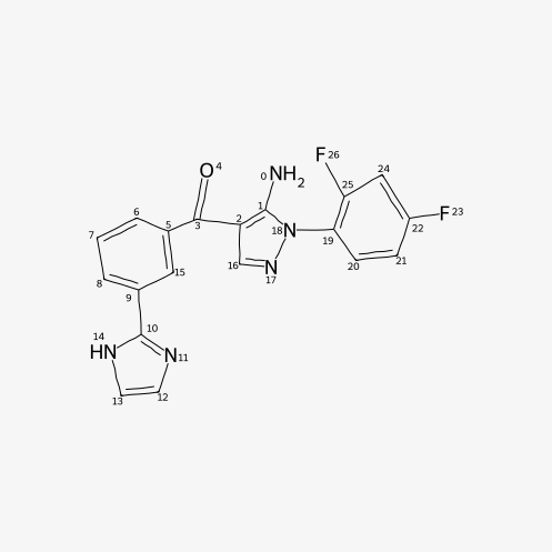 Nc1c(C(=O)c2cccc(-c3ncc[nH]3)c2)cnn1-c1ccc(F)cc1F